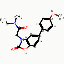 CN(CC(F)(F)F)C(=O)Cn1c(=O)oc2ccc(-c3ccc(OC(F)(F)F)cc3)cc21